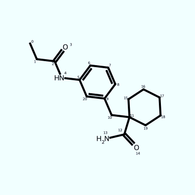 CCC(=O)Nc1cccc(CC2(C(N)=O)CCCCC2)c1